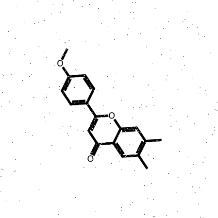 COc1ccc(-c2cc(=O)c3cc(C)c(C)cc3o2)cc1